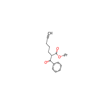 C#CCCCC(C(=O)OC(C)C)C(=O)c1ccccc1